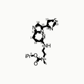 CC(C)OC(=O)N(C)CCNc1ccc2ncc(-c3cscn3)n2n1